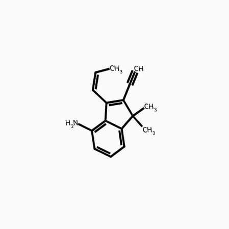 C#CC1=C(/C=C\C)c2c(N)cccc2C1(C)C